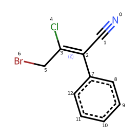 N#C/C(=C(\Cl)CBr)c1ccccc1